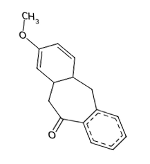 COC1=CC2CC(=O)c3ccccc3CC2C=C1